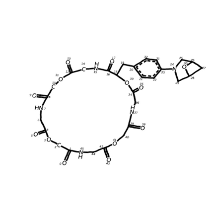 O=C1COC(=O)CNC(=O)COC(=O)CNC(=O)C(Cc2ccc(N3CC4CC(C3)O4)cc2)OC(=O)CNC(=O)COC(=O)CN1